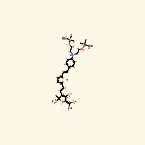 CC1(C(F)(F)F)OC(=C(C#N)C#N)C(C#N)=C1/C=C/c1ccc(/C=C/c2ccc(N(CCO[Si](C)(C)C(C)(C)C)CCO[Si](C)(C)C(C)(C)C)cc2)s1